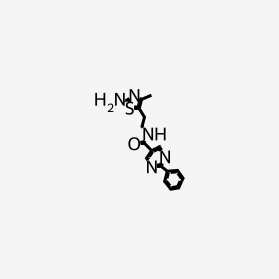 Cc1nc(N)sc1CCNC(=O)c1cnc(-c2ccccc2)nc1